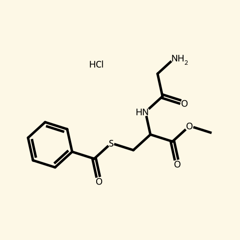 COC(=O)C(CSC(=O)c1ccccc1)NC(=O)CN.Cl